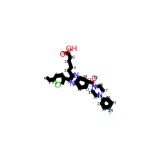 C/C=C(Cl)\C=C/C(C)c1nc2ccc(C(=O)N3CCN(c4ccc(F)cc4)CC3)cc2nc1CCCCC(=O)O